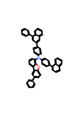 c1ccc(-c2ccc3oc4c(N(c5ccc(-c6cc(-c7ccccc7)c7ccccc7c6)cc5)c5ccc(-c6cccc7ccccc67)cc5)cccc4c3c2)cc1